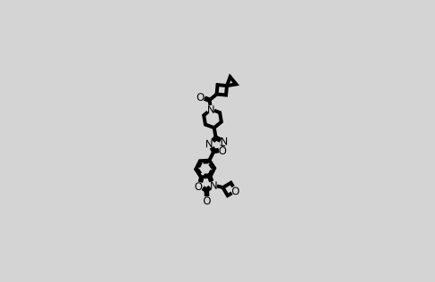 O=C(C1CC2(CC2)C1)N1CCC(c2noc(-c3ccc4oc(=O)n(C5COC5)c4c3)n2)CC1